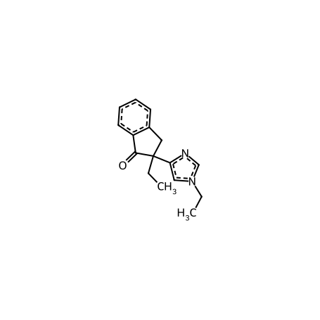 CCn1cnc(C2(CC)Cc3ccccc3C2=O)c1